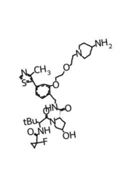 Cc1ncsc1-c1ccc(CNC(=O)[C@@H]2C[C@@H](O)CN2C(=O)[C@@H](NC(=O)C2(F)CC2)C(C)(C)C)c(OCCOCCN2CCC(N)CC2)c1